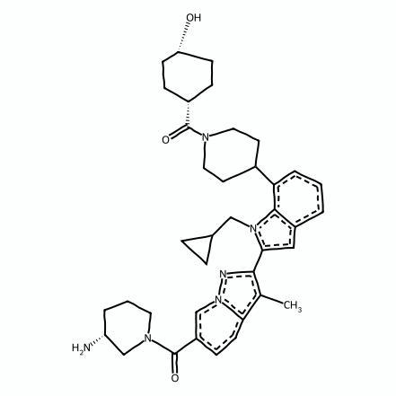 Cc1c(-c2cc3cccc(C4CCN(C(=O)[C@H]5CC[C@@H](O)CC5)CC4)c3n2CC2CC2)nn2cc(C(=O)N3CCC[C@@H](N)C3)ccc12